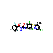 Cc1cc(Cl)cnc1Sc1c(Cl)cc(NC(=O)NC(=O)c2c(F)cccc2F)cc1Cl